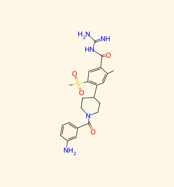 Cc1cc(C2CCN(C(=O)c3cccc(N)c3)CC2)c(S(C)(=O)=O)cc1C(=O)NC(=N)N